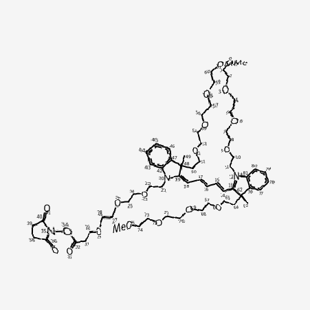 COCCOCCOCCOCC[N+]1=C(/C=C/C=C/C=C2/N(CCOCCOCCOCCC(=O)ON3C(=O)CCC3=O)c3ccccc3C2(C)CCOCCOCCOCCOC)C(C)(CCOCCOCCOCCOC)c2ccccc21